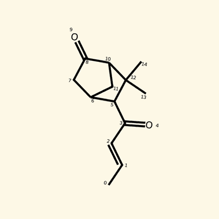 CC=CC(=O)C1C2CC(=O)C(C2)C1(C)C